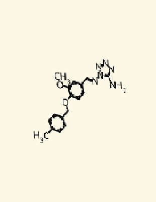 COc1cc(/C=N/n2nnnc2N)ccc1OCc1ccc(C)cc1